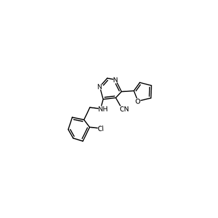 N#Cc1c(NCc2ccccc2Cl)ncnc1-c1ccco1